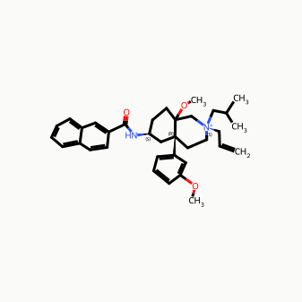 C=CC[N@@+]1(CC(C)C)CC[C@]2(c3cccc(OC)c3)C[C@@H](NC(=O)c3ccc4ccccc4c3)CCC2(OC)C1